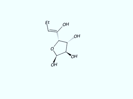 CCC=C(O)[C@H]1O[C@H](O)[C@H](O)[C@H]1O